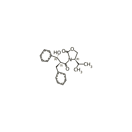 CC(C)[C@@H]1COC(=O)N1C(=O)[C@@H](Cc1ccccc1)[C@@H](O)c1ccccc1